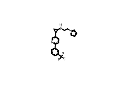 FC(F)(F)c1cccc(-c2ccc(C3CC3NCCn3cccc3)cn2)c1